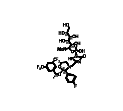 CNC(OP(=O)(O)n1[nH]c(CN2CCO[C@H](O[C@H](C)c3cc(C(F)(F)F)cc(C(F)(F)F)c3)[C@@H]2c2ccc(F)cc2)nc1=O)[C@H](O)[C@@H](O)[C@H](O)[C@H](O)CO